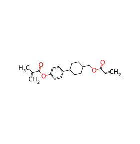 C=CC(=O)OCC1CCC(c2ccc(OC(=O)C(=C)C)cc2)CC1